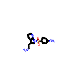 NCCc1cn(S(=O)(=O)c2ccc(N)cc2)c2ncccc12